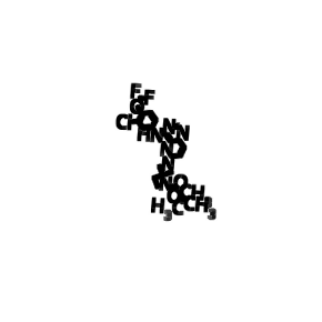 CC(C)(C)OC(=O)N1CCC12CN(c1ccc3ncnc(Nc4ccc(OC(F)F)c(Cl)c4)c3n1)C2